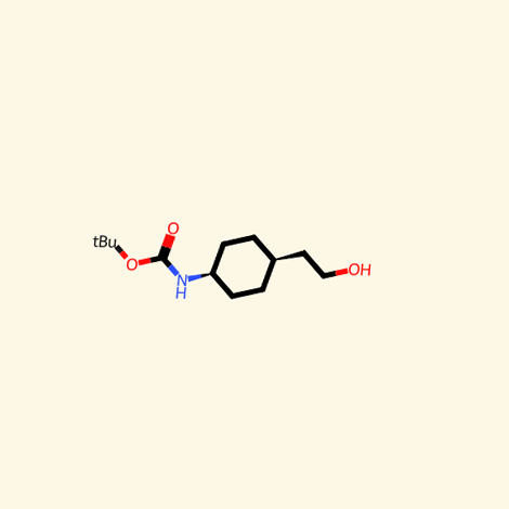 CC(C)(C)OC(=O)N[C@H]1CC[C@@H](CCO)CC1